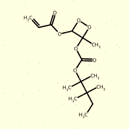 C=CC(=O)OC1OOC1(C)OC(=O)OC(C)(C)C(C)(C)CC